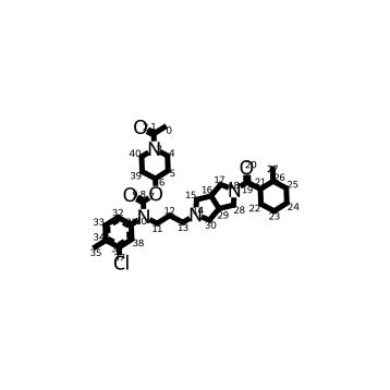 CC(=O)N1CCC(OC(=O)N(CCCN2CC3CN(C(=O)C4CCCCC4C)CC3C2)c2ccc(C)c(Cl)c2)CC1